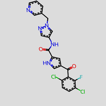 O=C(Nc1cnn(Cc2cccnc2)c1)c1cc(C(=O)c2c(Cl)ccc(Cl)c2F)c[nH]1